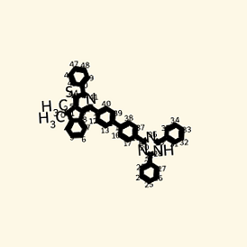 CC1(C)c2ccccc2-c2c(-c3ccc(-c4ccc(C5=NC(c6ccccc6)NC(c6ccccc6)=N5)cc4)cc3)nc3c(sc4ccccc43)c21